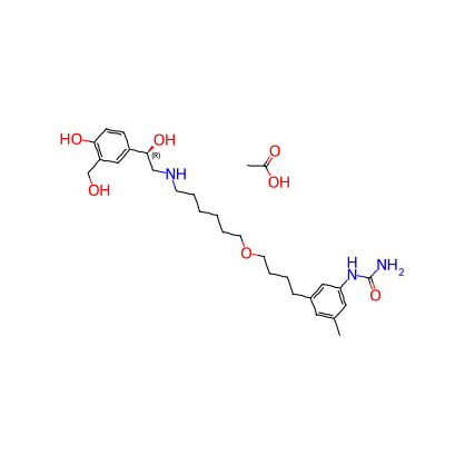 CC(=O)O.Cc1cc(CCCCOCCCCCCNC[C@H](O)c2ccc(O)c(CO)c2)cc(NC(N)=O)c1